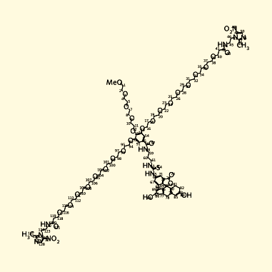 COCCOCCOCCOCCOc1c(OCCOCCOCCOCCOCCOCCOCCOCCOCCC(=O)NCCn2c([N+](=O)[O-])cnc2C)cc(C(=O)NCCCNC(=S)Nc2ccc3c(c2)C(=O)OC32C3=C(CC4=C2CCC(O)=C4)CC(O)C=C3)cc1OCCOCCOCCOCCOCCOCCOCCOCCOCCC(=O)NCCn1c([N+](=O)[O-])cnc1C